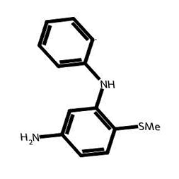 CSc1ccc(N)cc1Nc1[c]cccc1